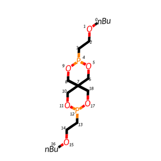 CCCCOCCP1OCC2(CO1)COP(CCOCCCC)OC2